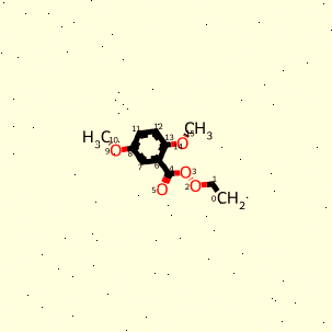 [CH2]COOC(=O)c1cc(OC)ccc1OC